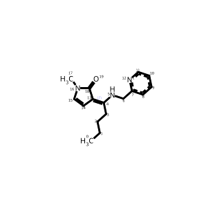 CCCC/C(NCc1ccccn1)=C1\C=CN(C)C1=O